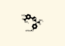 CCCCCCOc1ccc(N(C(N)=O)c2nc(-c3ccc(O)c(C(N)=O)c3)cs2)cc1